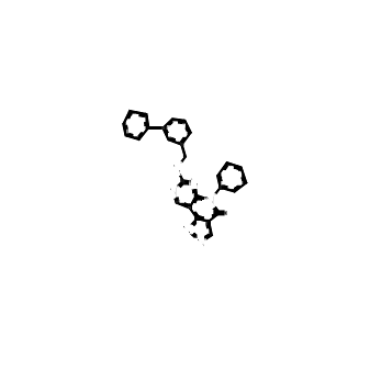 O=c1c2c[nH]nc2c2cnc(NCc3cccc(-c4ccccc4)c3)nc2n1-c1ccccc1